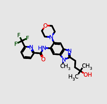 Cn1c(CCC(C)(C)O)nc2cc(N3CCOCC3)c(NC(=O)c3cccc(C(F)(F)F)n3)cc21